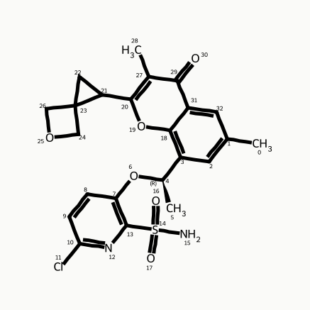 Cc1cc([C@@H](C)Oc2ccc(Cl)nc2S(N)(=O)=O)c2oc(C3CC34COC4)c(C)c(=O)c2c1